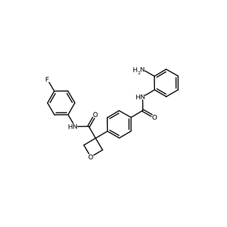 Nc1ccccc1NC(=O)c1ccc(C2(C(=O)Nc3ccc(F)cc3)COC2)cc1